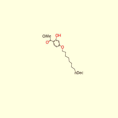 CCCCCCCCCCCCCCCCCCOc1ccc(C(=O)OC)c(O)c1